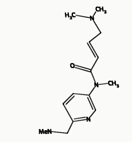 CNCc1ccc(N(C)C(=O)/C=C/CN(C)C)cn1